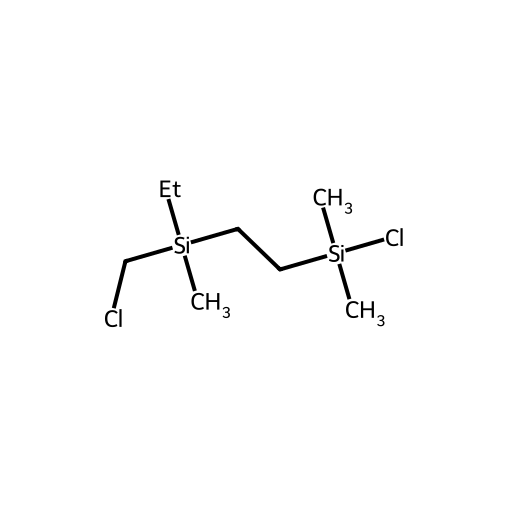 CC[Si](C)(CCl)CC[Si](C)(C)Cl